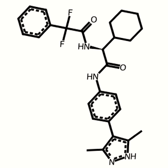 Cc1n[nH]c(C)c1-c1ccc(NC(=O)[C@@H](NC(=O)C(F)(F)c2ccccc2)C2CCCCC2)cc1